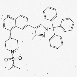 Cc1nn(C(c2ccccc2)(c2ccccc2)c2ccccc2)cc1-c1ccc2nccc(N3CCN(S(=O)(=O)N(C)C)CC3)c2c1